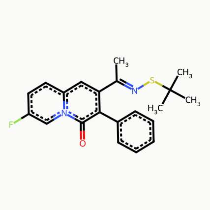 C/C(=N\SC(C)(C)C)c1cc2ccc(F)cn2c(=O)c1-c1ccccc1